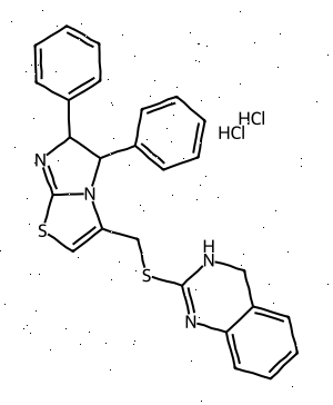 C1=C(CSC2=Nc3ccccc3CN2)N2C(=NC(c3ccccc3)C2c2ccccc2)S1.Cl.Cl